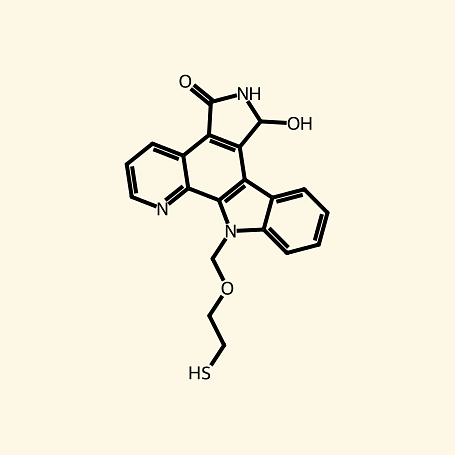 O=C1NC(O)c2c1c1cccnc1c1c2c2ccccc2n1COCCS